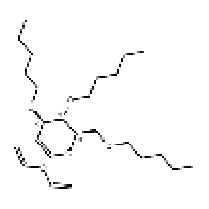 C=COC=C.CCCCCOC[C@H]1OC=C[C@@H](OCCCCC)[C@@H]1OCCCCC